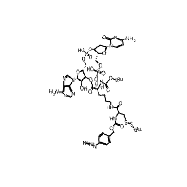 CC(C)(C)OC(=O)N[C@@H](CCCCNC(=O)C(CSSC(C)(C)C)NC(=O)OCc1ccc(N=[N+]=[N-])cc1)C(=O)O[C@H]1[C@@H](O)[C@H](n2cnc3c(N)ncnc32)O[C@@H]1COP(=O)(O)O[C@H]1C[C@H](n2ccc(N)nc2=O)O[C@@H]1COP(=O)(O)O